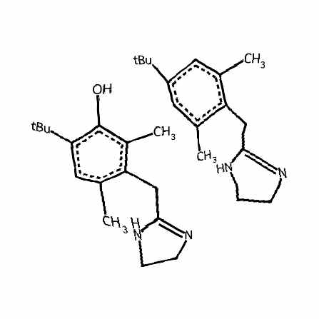 Cc1cc(C(C)(C)C)c(O)c(C)c1CC1=NCCN1.Cc1cc(C(C)(C)C)cc(C)c1CC1=NCCN1